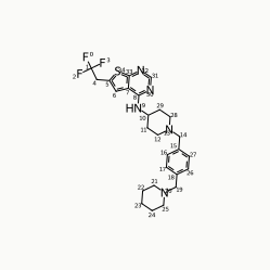 FC(F)(F)Cc1cc2c(NC3CCN(Cc4ccc(CN5CCCCC5)cc4)CC3)ncnc2s1